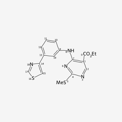 CCOC(=O)c1cnc(SC)nc1Nc1cccc(-c2cscn2)c1